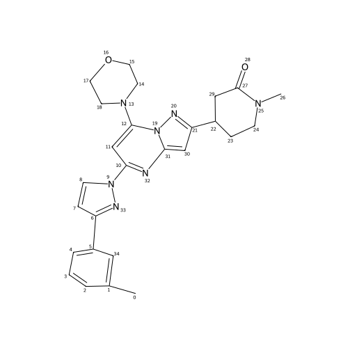 Cc1cccc(-c2ccn(-c3cc(N4CCOCC4)n4nc(C5CCN(C)C(=O)C5)cc4n3)n2)c1